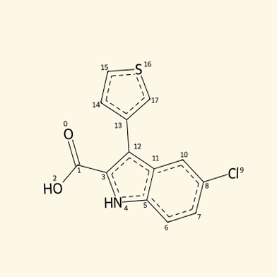 O=C(O)c1[nH]c2ccc(Cl)cc2c1-c1ccsc1